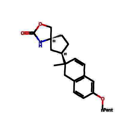 CCCCCOc1ccc2c(c1)C=CC(C)([C@@H]1CC[C@]3(COC(=O)N3)C1)C2